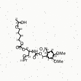 COc1cc(COC(=O)NC(COC(=O)OCCCCOC(C)O)COC(C)C)c([N+](=O)[O-])cc1OC